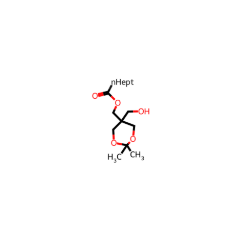 CCCCCCCC(=O)OCC1(CO)COC(C)(C)OC1